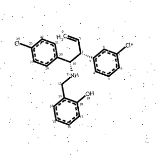 C=C[C@H](c1cccc(Cl)c1)[C@H](NCc1ccccc1O)c1ccc(Cl)cc1